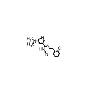 CN(C)c1cncc(/C(=N/CCc2ccccc2Cl)NC#N)c1